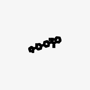 c1csc(-c2ccc(-c3ccc(C4=[SH]c5ccccc5N4)cc3)cn2)c1